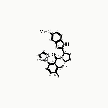 COc1ccc2[nH]c(C3CCCN3C(=O)c3c(-n4nccn4)ccc(C)c3F)nc2c1